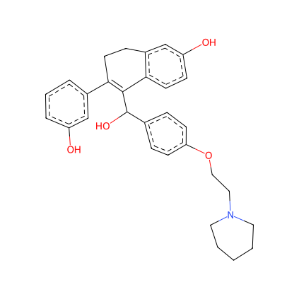 Oc1cccc(C2=C(C(O)c3ccc(OCCN4CCCCC4)cc3)c3ccc(O)cc3CC2)c1